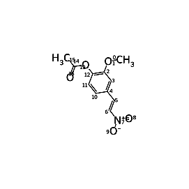 COc1cc(C=C[N+](=O)[O-])ccc1OC(C)=O